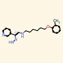 Cc1ccccc1OCCCCCCN/C=C(\N=N)c1cccnc1